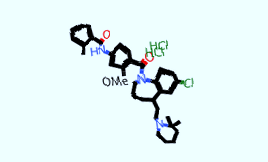 COc1cc(NC(=O)c2ccccc2C)ccc1C(=O)N1CCCC(CCN2CCCCC2(C)C)c2cc(Cl)ccc21.Cl.Cl